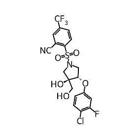 N#Cc1cc(C(F)(F)F)ccc1S(=O)(=O)N1C[C@H](Oc2ccc(Cl)c(F)c2)[C@](O)(CO)C1